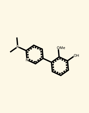 COc1c(O)cccc1-c1ccc(N(C)C)nc1